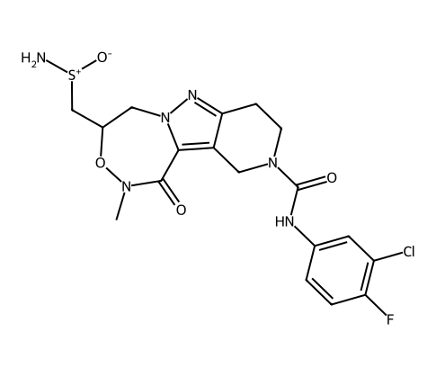 CN1OC(C[S+](N)[O-])Cn2nc3c(c2C1=O)CN(C(=O)Nc1ccc(F)c(Cl)c1)CC3